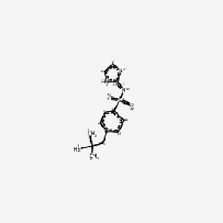 CC(C)(S)Cc1ccc(S(=O)(=O)/N=c2\[nH]ccs2)cc1